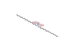 CCCCCCCCCCCCCCC(O)C[NH+]([O-])CC(O)CCCCCCCCCCCCCC